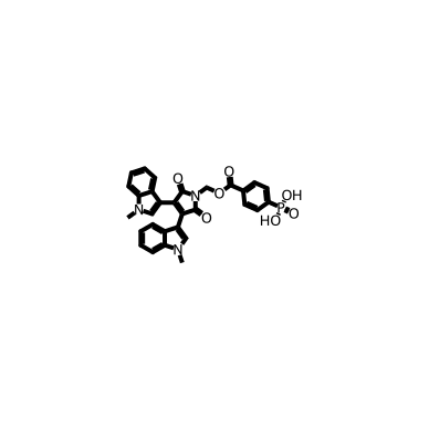 Cn1cc(C2=C(c3cn(C)c4ccccc34)C(=O)N(COC(=O)c3ccc(P(=O)(O)O)cc3)C2=O)c2ccccc21